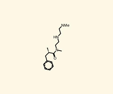 CNCCNCCN(C)C(=O)[C@H](C)Cc1ccccc1